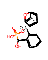 N#Cc1c2cccc1O2.O=[N+]([O-])c1ccccc1C(O)P(=O)(O)O